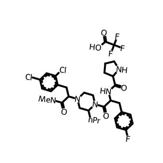 CCCC1CN(C(Cc2ccc(Cl)cc2Cl)C(=O)NC)CCN1C(=O)C(Cc1ccc(F)cc1)NC(=O)C1CCCN1.O=C(O)C(F)(F)F